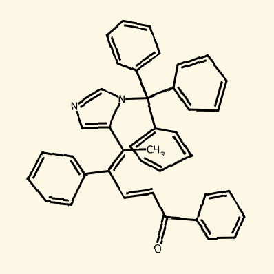 CC(=C(C=CC(=O)c1ccccc1)c1ccccc1)c1cncn1C(c1ccccc1)(c1ccccc1)c1ccccc1